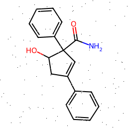 NC(=O)C1(c2ccccc2)C=C(c2ccccc2)CC1O